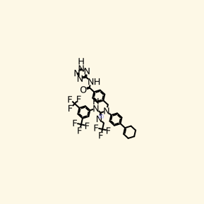 O=C(Nc1nn[nH]n1)c1ccc(CN(/C(=N\CC(F)(F)F)Nc2cc(C(F)(F)F)cc(C(F)(F)F)c2)c2ccc(C3=CCCCC3)cc2)cc1